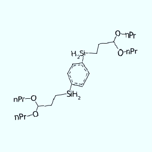 CCCOC(CC[SiH2]c1ccc([SiH2]CCC(OCCC)OCCC)cc1)OCCC